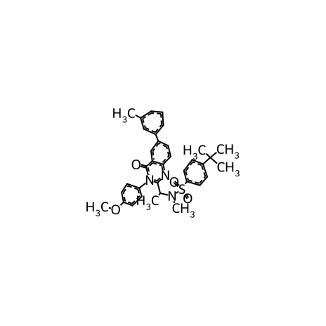 COc1ccc(-n2c(C(C)N(C)S(=O)(=O)c3ccc(C(C)(C)C)cc3)nc3ccc(-c4cccc(C)c4)cc3c2=O)cc1